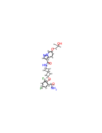 CC(C)(O)COc1ccc2c(C(=O)NC3CC4(C3)CC(Oc3c(F)cc(F)cc3C(N)=O)C4)cnn2c1